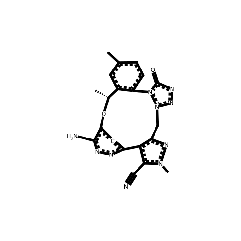 Cc1ccc2c(c1)[C@@H](C)Oc1cc(nnc1N)-c1c(nn(C)c1C#N)Cn1nnc(=O)n1-2